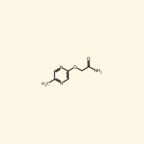 Cc1cnc(OCC(N)=O)cn1